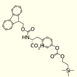 C[Si](C)(C)CCOC(=O)Oc1ccc(C[C@@H](NC(=O)OCC2c3ccccc3-c3ccccc32)C(=O)O)cc1